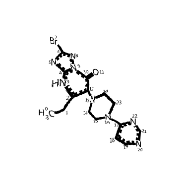 CCc1[nH]c2nc(Br)nn2c(=O)c1N1CCN(c2ccncn2)CC1